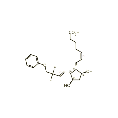 O=C(O)CCC/C=C\C[C@@H]1[C@@H](/C=C/C(F)(F)COc2ccccc2)[C@H](O)C[C@@H]1O